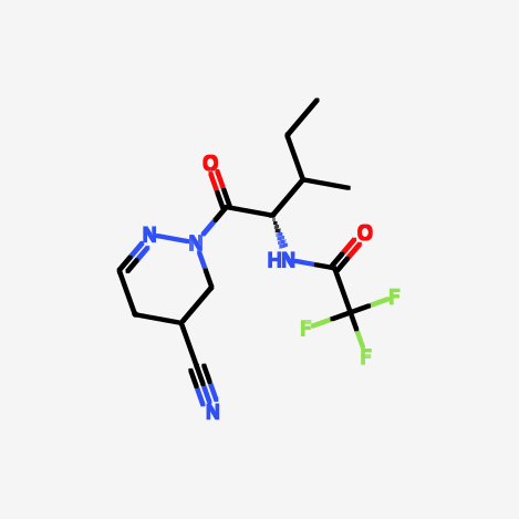 CCC(C)[C@H](NC(=O)C(F)(F)F)C(=O)N1CC(C#N)CC=N1